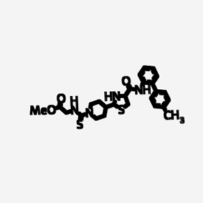 COC(=O)CNC(=S)N1CCC(C2NC(C(=O)Nc3ccccc3-c3ccc(C)cc3)CS2)CC1